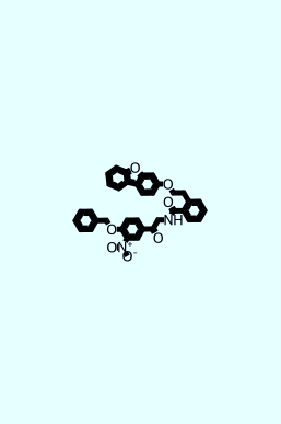 O=C(CNC(=O)c1ccccc1CCOc1ccc2c(c1)oc1ccccc12)c1ccc(OCc2ccccc2)c([N+](=O)[O-])c1